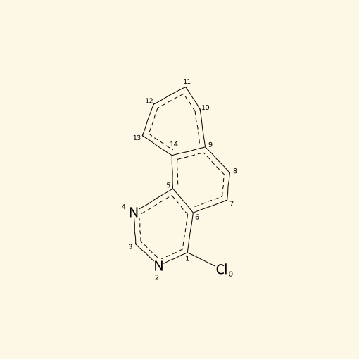 Clc1ncnc2c1ccc1ccccc12